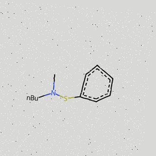 CCCCN(C)Sc1[c]cccc1